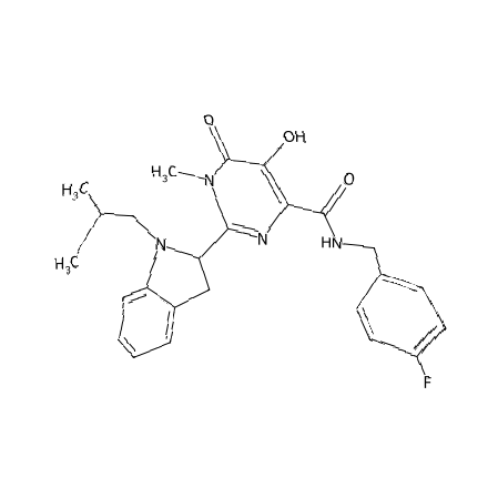 CC(C)CN1c2ccccc2CC1c1nc(C(=O)NCc2ccc(F)cc2)c(O)c(=O)n1C